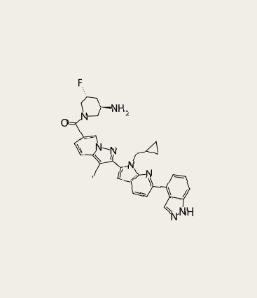 Cc1c(-c2cc3ccc(-c4cccc5[nH]ncc45)nc3n2CC2CC2)nn2cc(C(=O)N3C[C@H](N)C[C@@H](F)C3)ccc12